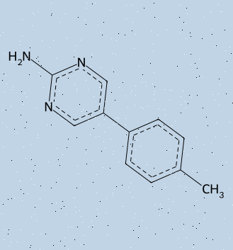 Cc1ccc(-c2cnc(N)nc2)cc1